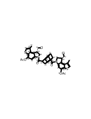 CC(=O)Oc1cc2c(c3c(C)csc13)[C@H](CCl)CN2C(=O)C12C3C4C1C1C2C3C41C(=O)N1C[C@@H](CCl)c2c1cc(OC(C)=O)c1scc(C)c21